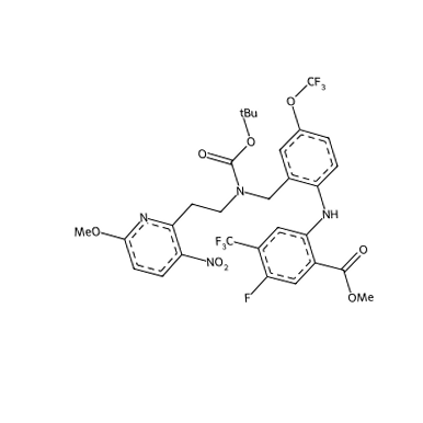 COC(=O)c1cc(F)c(C(F)(F)F)cc1Nc1ccc(OC(F)(F)F)cc1CN(CCc1nc(OC)ccc1[N+](=O)[O-])C(=O)OC(C)(C)C